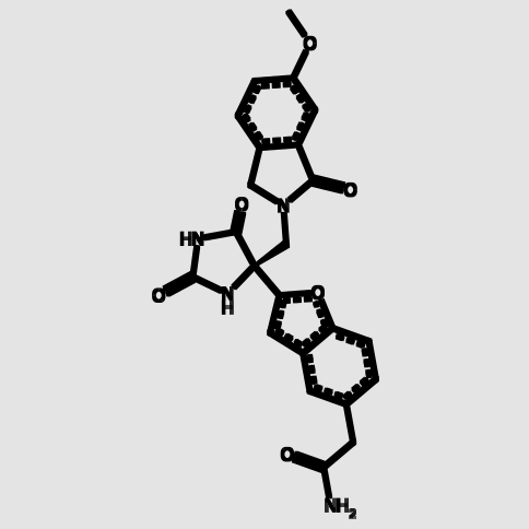 COc1ccc2c(c1)C(=O)N(C[C@@]1(c3cc4cc(CC(N)=O)ccc4o3)NC(=O)NC1=O)C2